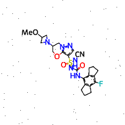 COC1CN(C2COc3c(S(=O)(=NC(=O)Nc4c5c(c(F)c6c4CCC6)CCC5)NC#N)cnn3C2)C1